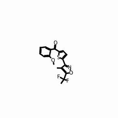 COc1ccccc1C(=O)c1ccc(-c2noc(C(C)(F)F)c2C)s1